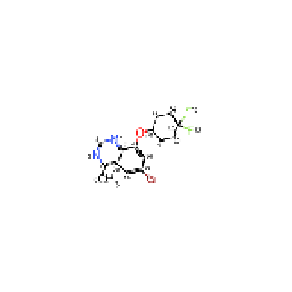 Cc1ncnc2c(OC3CCC(F)(F)CC3)cc(Br)cc12